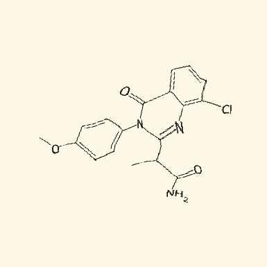 COc1ccc(-n2c(C(C)C(N)=O)nc3c(Cl)cccc3c2=O)cc1